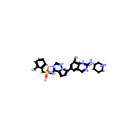 CCc1cc(-c2ccc3c(NS(=O)(=O)Cc4ccccc4Cl)ncnn23)cc2cnc(N[C@H]3CCCNC3)nc12